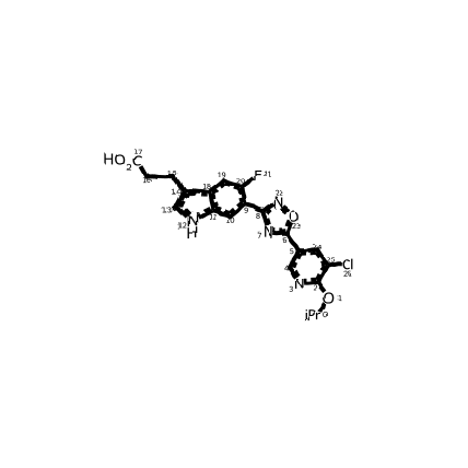 CC(C)Oc1ncc(-c2nc(-c3cc4[nH]cc(CCC(=O)O)c4cc3F)no2)cc1Cl